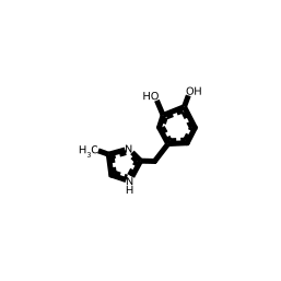 Cc1c[nH]c(Cc2ccc(O)c(O)c2)n1